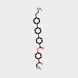 C=CC(=O)c1ccc(OC(=O)c2ccc(-c3ccc(-c4ccc(CCC)cc4)cc3)cc2)cc1